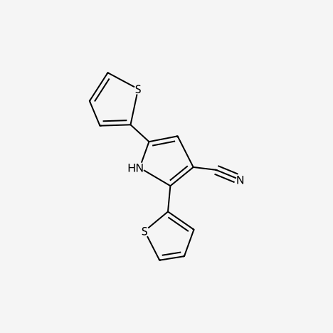 N#Cc1cc(-c2cccs2)[nH]c1-c1cccs1